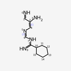 N=C/C(N)=C\N=C/NC(=N)C1CCCCC1